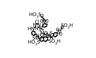 CCN(c1cccc(S(=O)(=O)CCOS(=O)(=O)O)c1)c1nc(Cl)nc(Nc2ccc(S(=O)(=O)O)c(/N=N/c3c(S(=O)(=O)O)cc4cc(S(=O)(=O)O)c(/N=N/c5ccc(S(=O)(=O)CCOS(=O)(=O)O)cc5S(=O)(=O)O)c(N)c4c3O)c2)n1